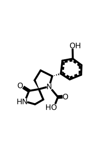 O=C(O)N1[C@@H](c2cccc(O)c2)CC[C@]12CCNC2=O